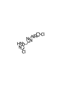 Clc1ccc(CNCc2ncc(Cc3c[nH]c4ncc(Cl)cc34)cn2)cc1